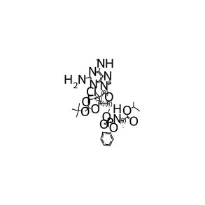 CNc1nc(N)nc2c1ncn2[C@@H]1O[C@H](COP(=O)(N[C@@H](C)C(=O)OC(C)C)Oc2ccccc2)[C@@H](OC(=O)OC(C)(C)C)[C@]1(F)Cl